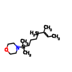 CC=C(C)[SiH2]CCC[Si](C)(C)N1CCOCC1